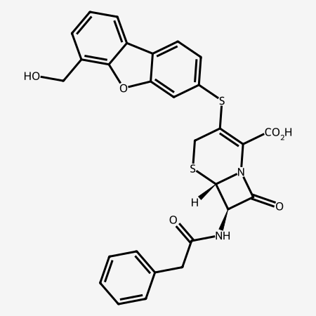 O=C(Cc1ccccc1)N[C@@H]1C(=O)N2C(C(=O)O)=C(Sc3ccc4c(c3)oc3c(CO)cccc34)CS[C@@H]12